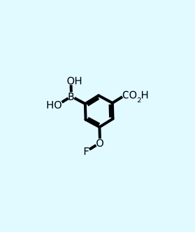 O=C(O)c1cc(OF)cc(B(O)O)c1